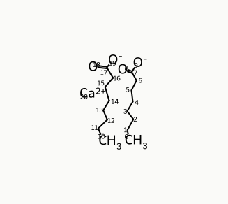 CCCCCCCC(=O)[O-].CCCCCCCC(=O)[O-].[Ca+2]